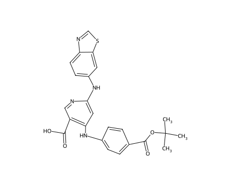 CC(C)(C)OC(=O)c1ccc(Nc2cc(Nc3ccc4ncsc4c3)ncc2C(=O)O)cc1